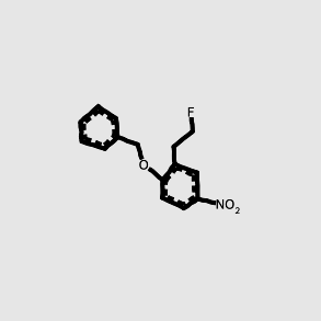 O=[N+]([O-])c1ccc(OCc2ccccc2)c(CCF)c1